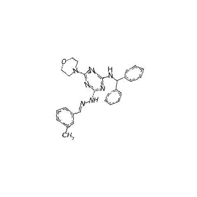 Cc1cccc(/C=N/Nc2nc(NC(c3ccccc3)c3ccccc3)nc(N3CCOCC3)n2)c1